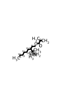 Br.C=C(C)C(=O)OCCC(CCCCCC)C(C)(C)N